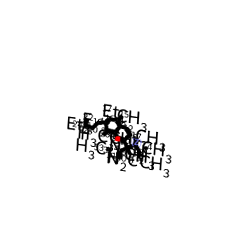 C=C(C)N(C)/C(=C\C)C(C)(c1ccc2c(C)c(CC)c(CCC(F)(F)CC)c(C)c2c1)c1cnc(C)n1C